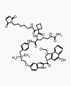 C[N+](C)(CCOc1ccc2[nH]c(C(=O)N3C[C@@H](CCl)c4c3cc(O)c3ccccc43)cc2c1)Cc1ccc(NC(=O)C(CCCNC(N)=O)NC(=O)C2(C(=O)NCCCCCN3C(=O)C=CC3=O)CCC2)cc1